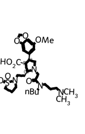 CCCCN(CCCN(C)C)C(=O)CN1C[C@H](c2cc(OC)c3c(c2)OCO3)[C@@H](C(=O)O)[C@@H]1CCN1CCCS1(=O)=O